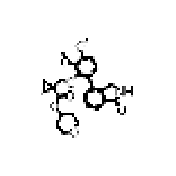 COc1ccc(-c2cccc3c2CNC3=O)c(OCC2(C(=O)OC3CCOCC3)CC2)c1OC